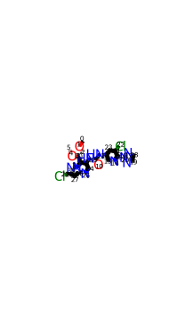 COC[C@@H](OC)c1c(NC(=O)Nc2cnc(-n3nccn3)c(Cl)c2)cnc2cc(Cl)nn12